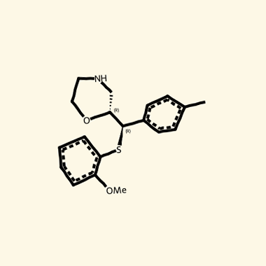 COc1ccccc1S[C@H](c1ccc(C)cc1)[C@H]1CNCCO1